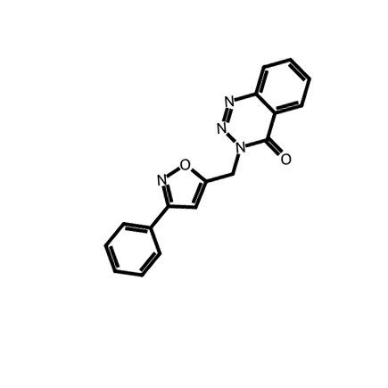 O=c1c2ccccc2nnn1Cc1cc(-c2ccccc2)no1